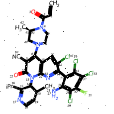 C=CC(=O)N1CCN(c2c(C#N)c(=O)n(C3C(C(C)C)=NC=CC3C)c3nc(-c4c(N)c(Cl)c(F)c(Cl)c4Cl)c(Cl)cc23)C[C@H]1C